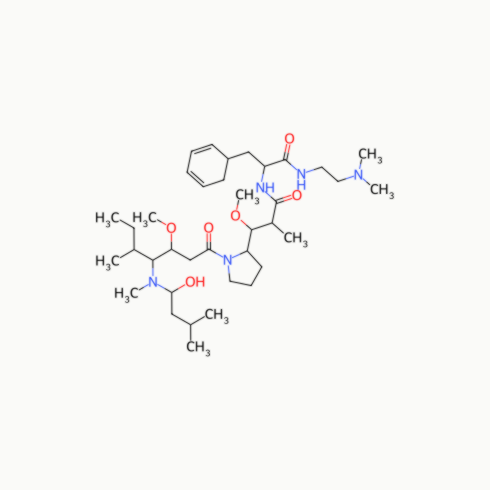 CCC(C)C(C(CC(=O)N1CCCC1C(OC)C(C)C(=O)NC(CC1C=CC=CC1)C(=O)NCCN(C)C)OC)N(C)C(O)CC(C)C